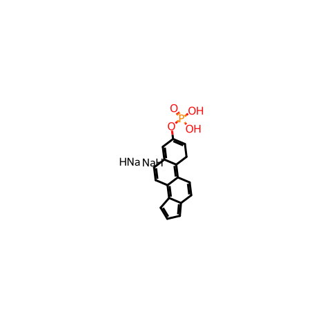 O=P(O)(O)OC1=CCc2c(ccc3c4c(ccc23)=CC=C4)=C1.[NaH].[NaH]